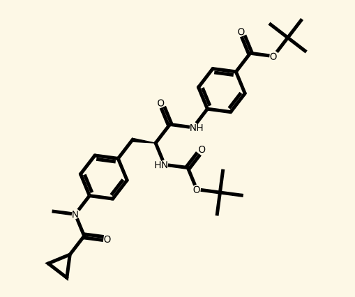 CN(C(=O)C1CC1)c1ccc(C[C@H](NC(=O)OC(C)(C)C)C(=O)Nc2ccc(C(=O)OC(C)(C)C)cc2)cc1